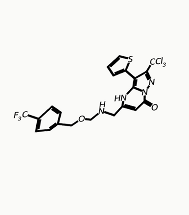 O=c1cc(CNCOCc2ccc(C(F)(F)F)cc2)[nH]c2c(-c3cccs3)c(C(Cl)(Cl)Cl)nn12